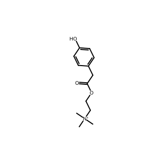 C[N+](C)(C)CCOC(=O)Cc1ccc(O)cc1